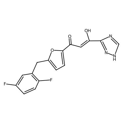 O=C(C=C(O)c1nc[nH]n1)c1ccc(Cc2cc(F)ccc2F)o1